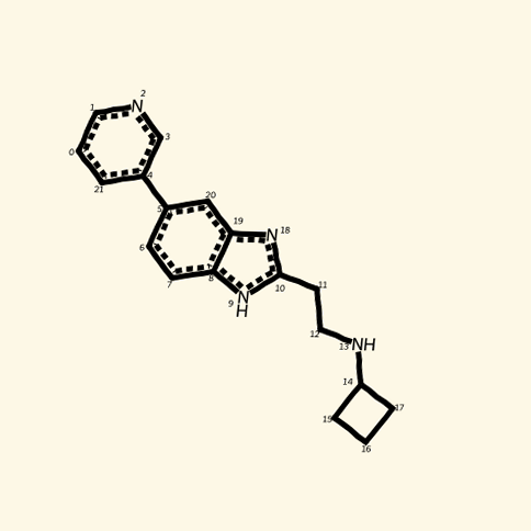 c1cncc(-c2ccc3[nH]c(CCNC4CCC4)nc3c2)c1